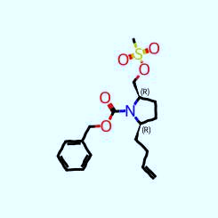 C=CCC[C@@H]1CC[C@H](COS(C)(=O)=O)N1C(=O)OCc1ccccc1